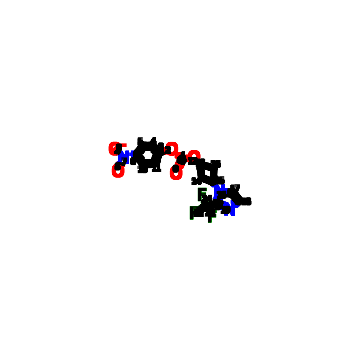 O=C(Oc1ccc([N+](=O)[O-])cc1)OC1CC(n2ccnc2C(F)(F)F)C1